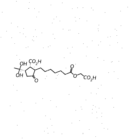 CC(O)(O)[C@H]1CC(=O)C(CCCCCCC(=O)OCC(=O)O)[C@H]1C(=O)O